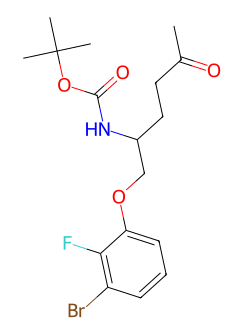 CC(=O)CCC(COc1cccc(Br)c1F)NC(=O)OC(C)(C)C